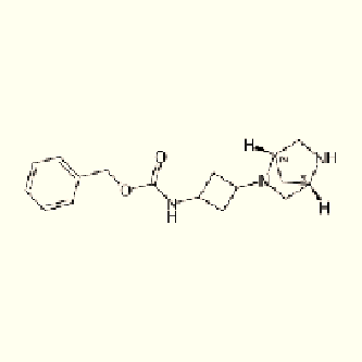 O=C(NC1CC(N2C[C@@H]3C[C@H]2CN3)C1)OCc1ccccc1